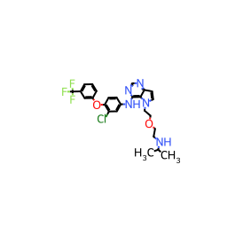 CC(C)NCCOCCn1ccc2ncnc(Nc3ccc(Oc4cccc(C(F)(F)F)c4)c(Cl)c3)c21